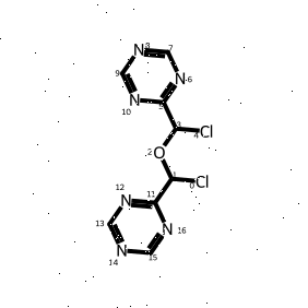 ClC(OC(Cl)c1ncncn1)c1ncncn1